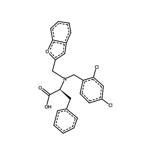 O=C(O)[C@H](Cc1ccccc1)N(Cc1cc2ccccc2o1)Cc1ccc(Cl)cc1Cl